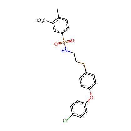 Cc1ccc(S(=O)(=O)NCCSc2ccc(Oc3ccc(Cl)cc3)cc2)cc1C(=O)O